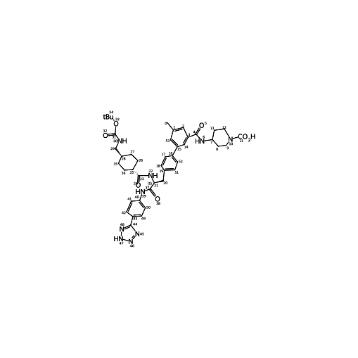 Cc1cc(C(=O)NC2CCN(C(=O)O)CC2)cc(-c2ccc(C[C@H](NC(=O)[C@H]3CC[C@H](CNC(=O)OC(C)(C)C)CC3)C(=O)Nc3ccc(-c4nn[nH]n4)cc3)cc2)c1